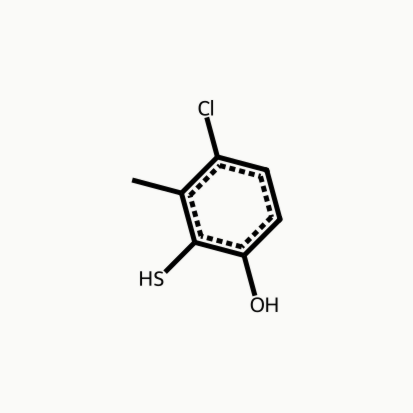 Cc1c(Cl)ccc(O)c1S